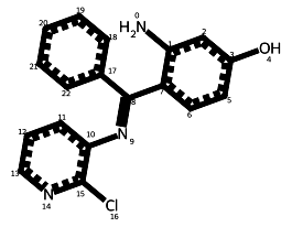 Nc1cc(O)ccc1C(=Nc1cccnc1Cl)c1ccccc1